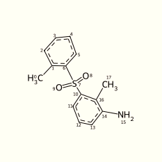 Cc1ccccc1S(=O)(=O)c1cccc(N)c1C